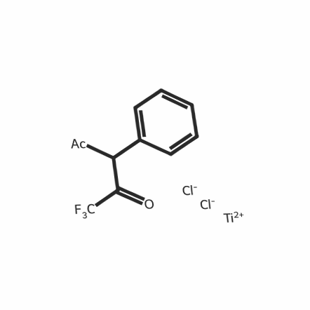 CC(=O)C(C(=O)C(F)(F)F)c1ccccc1.[Cl-].[Cl-].[Ti+2]